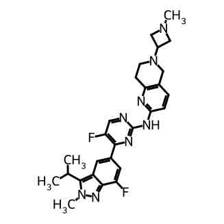 CC(C)c1c2cc(-c3nc(Nc4ccc5c(n4)CCN(C4CN(C)C4)C5)ncc3F)cc(F)c2nn1C